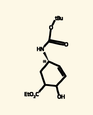 CCOC(=O)C1C[C@H](NC(=O)OC(C)(C)C)C=CC1O